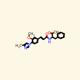 COc1cc(/C=C/C(=O)NC(Cc2ccccc2)C(C)=O)ccc1-n1cnc(C)c1